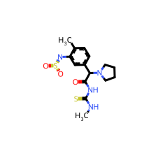 CNC(=S)NC(=O)C(c1ccc(C)c(N=S(=O)=O)c1)N1CCCC1